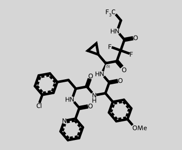 COc1ccc(C(NC(=O)C(Cc2cccc(Cl)c2)NC(=O)c2ccccn2)C(=O)N[C@H](C(=O)C(F)(F)C(=O)NCC(F)(F)F)C2CC2)cc1